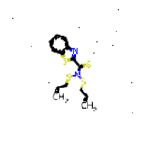 C=CCSN(SCC=C)C(=S)c1nc2ccccc2s1